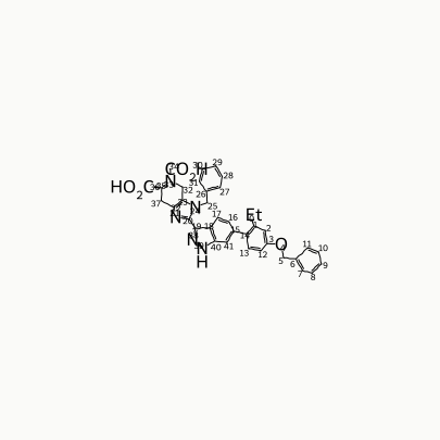 CCc1cc(OCc2ccccc2)ccc1-c1ccc2c(-c3nc4c(n3Cc3ccccc3)CN(C(=O)O)[C@H](C(=O)O)C4)n[nH]c2c1